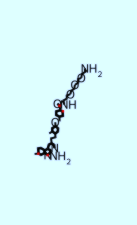 Cc1ccc2c(c1)nc(N)c1ncc(CCc3ccc(OCc4ccc(C(=O)NCCCOCCOCCOCCN)cc4)cc3C)cc12